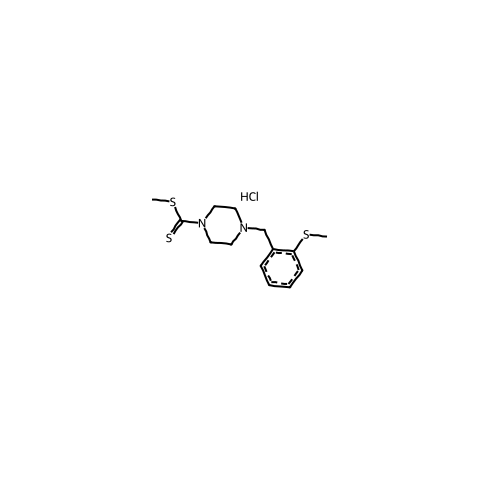 CSC(=S)N1CCN(Cc2ccccc2SC)CC1.Cl